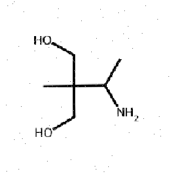 CC(N)C(C)(CO)CO